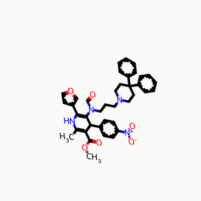 COC(=O)C1=C(C)NC(c2ccoc2)=C(N(C=O)CCCN2CCC(c3ccccc3)(c3ccccc3)CC2)C1c1ccc([N+](=O)[O-])cc1